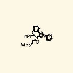 CCCC(=O)N(C(=O)CCSC)c1cn(-c2cccnc2)nc1-c1ccccc1